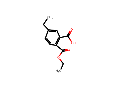 CCOC(=O)c1ccc(CC)cc1C(=O)O